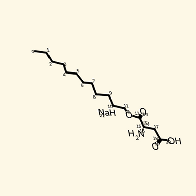 CCCCCCCCCCCCOC(=O)[C@@H](N)CC(=O)O.[NaH]